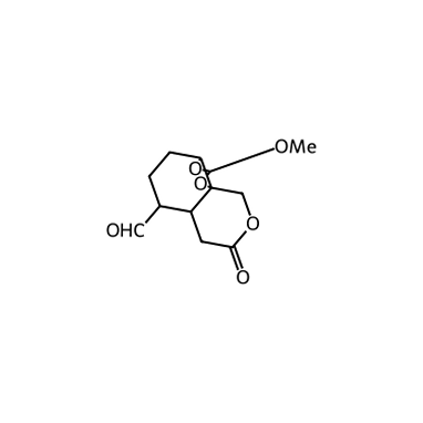 COC1OC2CCC(C=O)C3CC(=O)OCC23O1